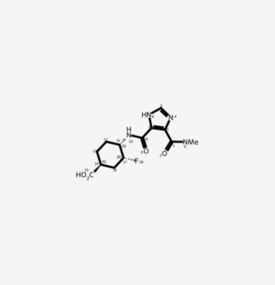 CNC(=O)c1nc[nH]c1C(=O)N[C@H]1CC[C@H](C(=O)O)C[C@H]1F